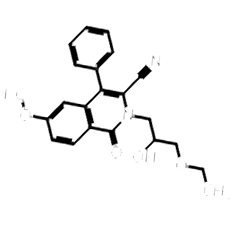 CCOCC(O)Cn1c(C#N)c(-c2ccccc2)c2cc(OC)ccc2c1=O